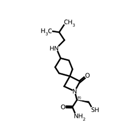 CC(C)CNC1CCC2(CC1)CN([C@@H](CS)C(N)=O)C2=O